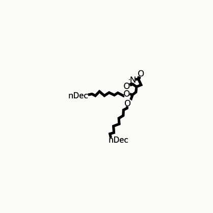 CCCCCCCCCCCCCCCCCCOCC(CC1CC(=O)[N]C1=O)OCCCCCCCCCCCCCCCCCC